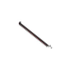 CP(#P)P=PP=PP=PP=PP=PP=PP=PP=PP=PP=PP=PP=PP=PP=PP=PP=PP=PP=PP=PP=PP=PP=PP